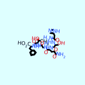 CC(O)C(NC(=O)CNC(=O)C(CCC(N)=O)NC(=O)C(CO)NC(=O)C(N)Cc1cnc[nH]1)C(=O)NC(Cc1ccccc1)C(=O)O